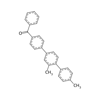 Cc1ccc(-c2ccc(-c3ccc(C(=O)c4ccccc4)cc3)cc2C)cc1